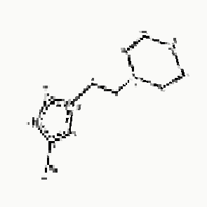 CC(C)(C)c1cn(CCN2CCOCC2)nn1